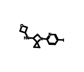 Ic1ccc(N2CC(NC3COC3)C23CC3)nc1